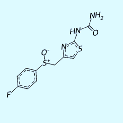 NC(=O)Nc1nc(C[S+]([O-])c2ccc(F)cc2)cs1